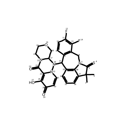 CC1(C)C(=S)N2Cc3c(ccc(F)c3F)C(N3C4COCCN4C(=O)c4c(O)c(=O)ccn43)c3cccc1c32